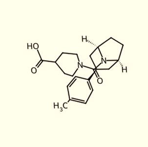 Cc1ccc([C@H]2C[C@H]3CC[C@@H](C2)N3C(=O)N2CCC(C(=O)O)CC2)cc1